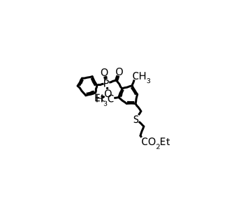 CCOC(=O)CCSCc1cc(C)c(C(=O)P(=O)(OCC)c2ccccc2)c(C)c1